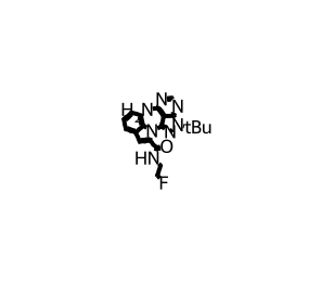 CC(C)(C)n1nc(-n2c(C(=O)NCCF)cc3ccccc32)c2c(N)ncnc21